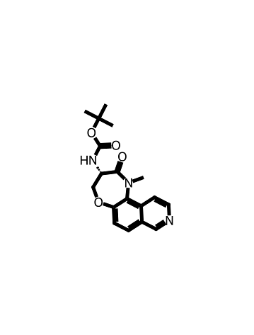 CN1C(=O)[C@@H](NC(=O)OC(C)(C)C)COc2ccc3cnccc3c21